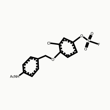 CC(=O)Nc1ccc(COc2ccc(OS(=O)(=O)F)cc2Cl)cc1